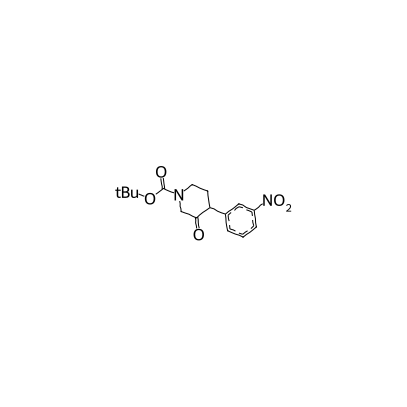 CC(C)(C)OC(=O)N1CCC(c2cccc([N+](=O)[O-])c2)C(=O)C1